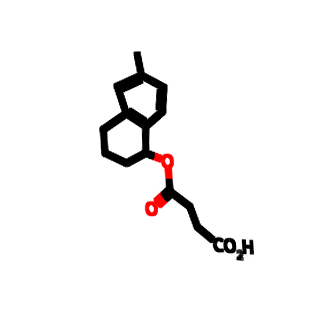 Cc1ccc2c(c1)CCCC2OC(=O)CCC(=O)O